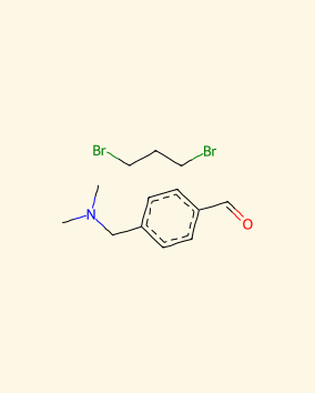 BrCCCBr.CN(C)Cc1ccc(C=O)cc1